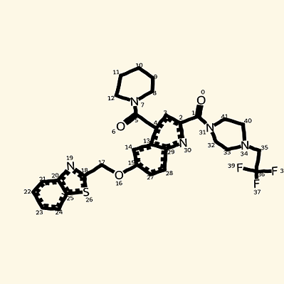 O=C(c1cc(C(=O)N2CCCCC2)c2cc(OCc3nc4ccccc4s3)ccc2n1)N1CCN(CC(F)(F)F)CC1